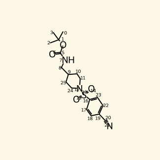 CC(C)(C)OC(=O)NCC1CCN(S(=O)(=O)c2ccc(C#N)cc2)CC1